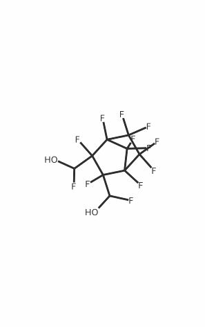 OC(F)C1(F)C(F)(C(O)F)C2(F)C(F)(F)C(F)(F)C1(F)C2(F)F